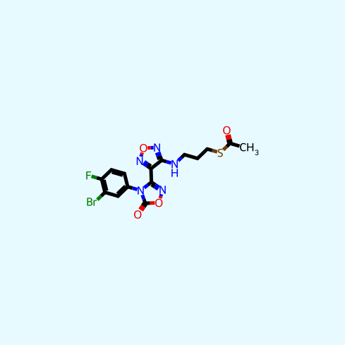 CC(=O)SCCCNc1nonc1-c1noc(=O)n1-c1ccc(F)c(Br)c1